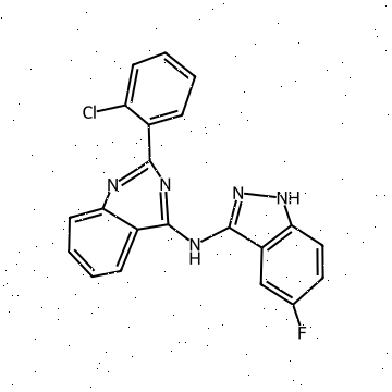 Fc1ccc2[nH]nc(Nc3nc(-c4ccccc4Cl)nc4ccccc34)c2c1